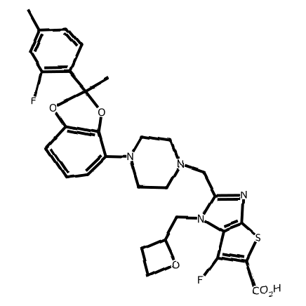 Cc1ccc(C2(C)Oc3cccc(N4CCN(Cc5nc6sc(C(=O)O)c(F)c6n5CC5CCO5)CC4)c3O2)c(F)c1